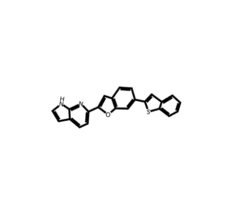 c1ccc2sc(-c3ccc4cc(-c5ccc6cc[nH]c6n5)oc4c3)cc2c1